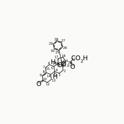 C[C@]12CC[C@H]3[C@@H](CCC4=CC(=O)CC[C@@]43C)[C@]13CC[C@]2(C(=O)C(=O)O)OC(c1ccccc1)O3